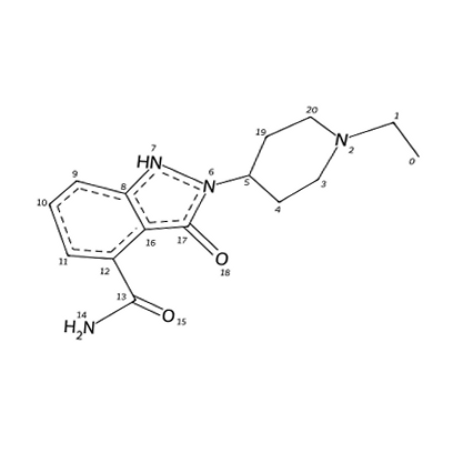 CCN1CCC(n2[nH]c3cccc(C(N)=O)c3c2=O)CC1